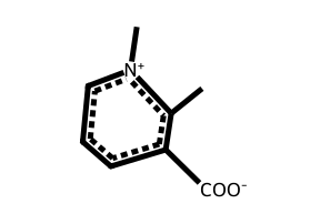 Cc1c(C(=O)[O-])ccc[n+]1C